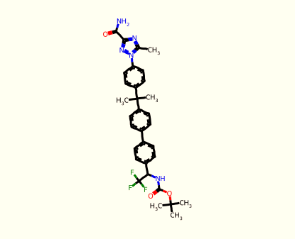 Cc1nc(C(N)=O)nn1-c1ccc(C(C)(C)c2ccc(-c3ccc(C(NC(=O)OC(C)(C)C)C(F)(F)F)cc3)cc2)cc1